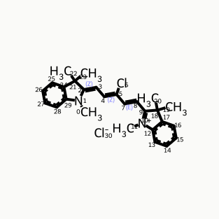 CN1\C(=C/C=C(Cl)/C=C/C2=[N+](C)c3ccccc3C2(C)C)C(C)(C)c2ccccc21.[Cl-]